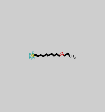 C=CCOCCCCCCCC/C=C/S(F)(F)(F)(F)F